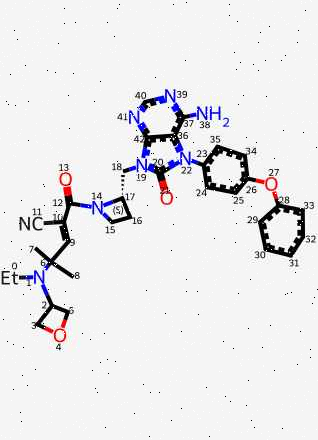 CCN(C1COC1)C(C)(C)C=C(C#N)C(=O)N1CC[C@H]1Cn1c(=O)n(-c2ccc(Oc3ccccc3)cc2)c2c(N)ncnc21